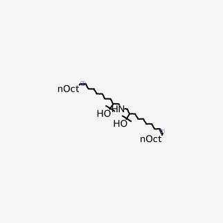 CCCCCCCC/C=C\CCCCCCC(CNCC(CCCCCC/C=C\CCCCCCCC)C(C)(C)O)C(C)(C)O